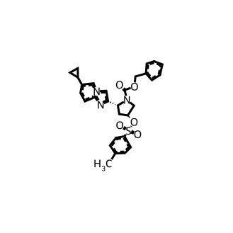 Cc1ccc(S(=O)(=O)O[C@@H]2C[C@H](c3cn4cc(C5CC5)ccc4n3)N(C(=O)OCc3ccccc3)C2)cc1